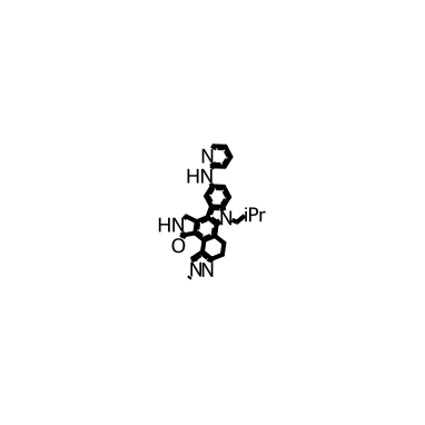 CC(C)Cn1c2ccc(Nc3ccccn3)cc2c2c3c(c4c(c21)CCc1nn(C)cc1-4)C(=O)NC3